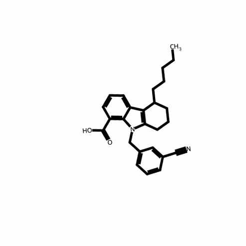 CCCCCC1CCCc2c1c1cccc(C(=O)O)c1n2Cc1cccc(C#N)c1